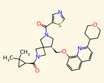 CC1(C)C[C@@H]1C(=O)N1CC2(CN(C(=O)c3cncs3)C[C@H]2COc2cccc3ccc(C4CCOCC4)nc23)C1